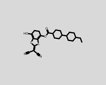 CCC1CCC(C2CCC(C(=O)OC3=C4SC(=C(C#N)C#N)SC4=C(O)CC3)CC2)CC1